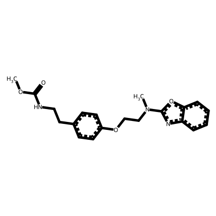 COC(=O)NCCc1ccc(OCCN(C)c2nc3ccccc3o2)cc1